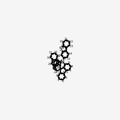 c1ccc2c(c1)-c1cccc(N(c3ccc4c(c3)sc3ccccc34)c3cccc4ccccc34)c1C21C2CC3CC(C2)CC1C3